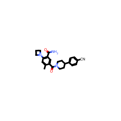 Cc1cc(N2CCC2)c(C(N)=O)cc1C(=O)N1CCC(c2ccc(C#N)cc2)CC1